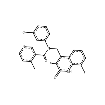 Cc1ccncc1C(=O)N(Cc1c(F)c(=O)[nH]c2c(F)cccc12)c1cccc(Cl)c1